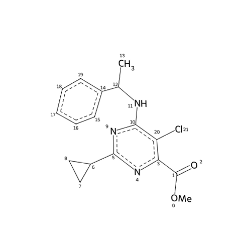 COC(=O)c1nc(C2CC2)nc(NC(C)c2ccccc2)c1Cl